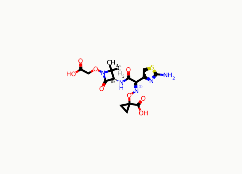 CC1(C)[C@H](NC(=O)/C(=N\OC2(C(=O)O)CC2)c2csc(N)n2)C(=O)N1OCC(=O)O